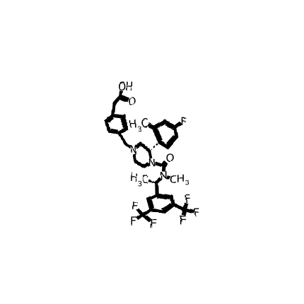 Cc1cc(F)ccc1[C@H]1CN(Cc2ccc(CC(=O)O)cc2)CCN1C(=O)N(C)[C@H](C)c1cc(C(F)(F)F)cc(C(F)(F)F)c1